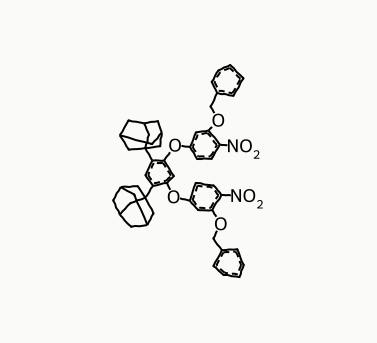 O=[N+]([O-])c1ccc(Oc2cc(Oc3ccc([N+](=O)[O-])c(OCc4ccccc4)c3)c(C34CC5CC(CC(C5)C3)C4)cc2C23CC4CC(CC(C4)C2)C3)cc1OCc1ccccc1